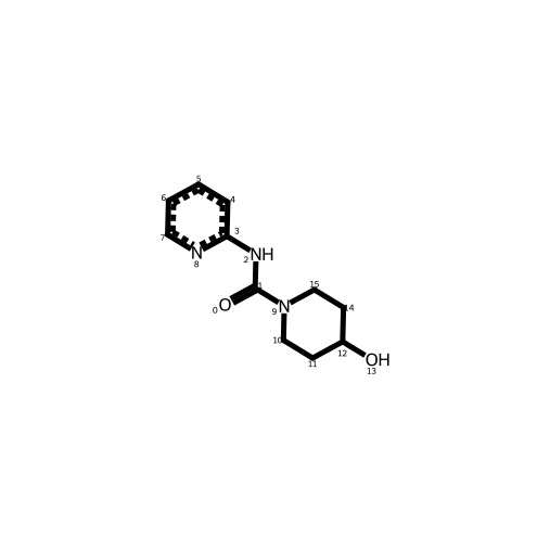 O=C(Nc1ccccn1)N1CCC(O)CC1